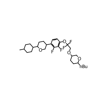 CCCCC1CCC(OCC(F)(F)Oc2ccc(C3CCC(C4CCC(C)CC4)OC3)c(F)c2F)CO1